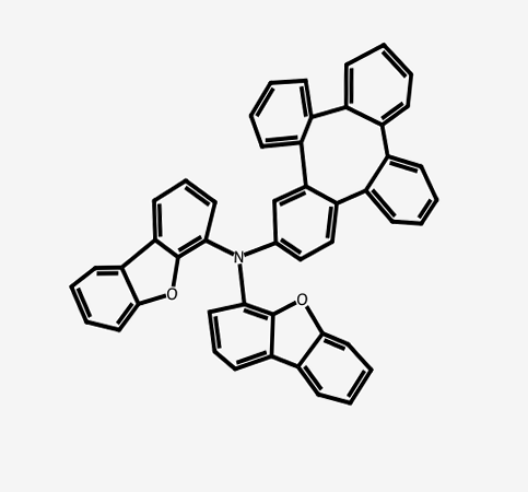 c1ccc2c(c1)-c1ccccc1-c1ccc(N(c3cccc4c3oc3ccccc34)c3cccc4c3oc3ccccc34)cc1-c1ccccc1-2